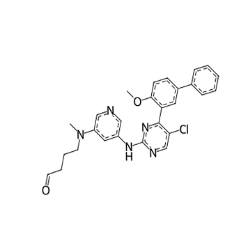 COc1ccc(-c2ccccc2)cc1-c1nc(Nc2cncc(N(C)CCCC=O)c2)ncc1Cl